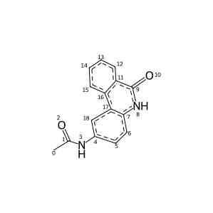 CC(=O)Nc1ccc2[nH]c(=O)c3ccccc3c2c1